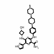 CN1CCN(C2CCN(c3ccc(Nc4nc(N[C@H]5C[C@@H](O)C5)c(-c5cc[nH]n5)nc4C(N)=O)cc3)CC2)CC1